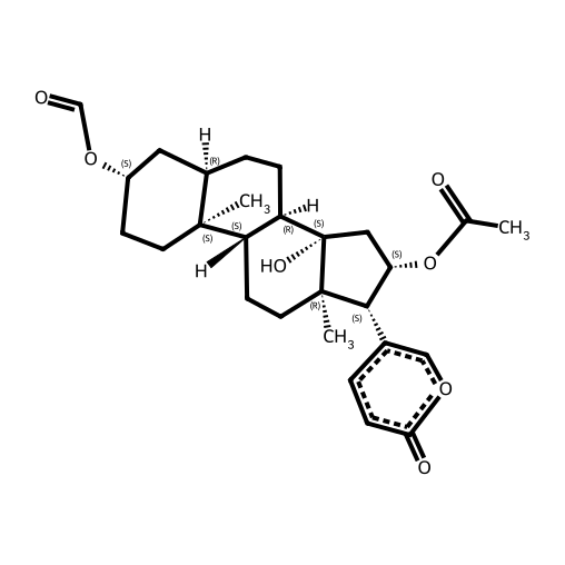 CC(=O)O[C@H]1C[C@]2(O)[C@@H]3CC[C@@H]4C[C@@H](OC=O)CC[C@]4(C)[C@H]3CC[C@]2(C)[C@H]1c1ccc(=O)oc1